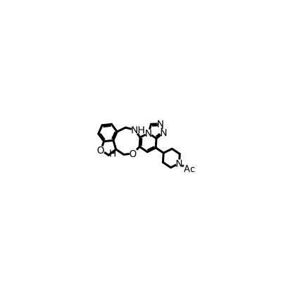 CC(=O)N1CCC(c2cc3c(n4cnnc24)NCc2cccc4c2[C@@H](CO4)CO3)CC1